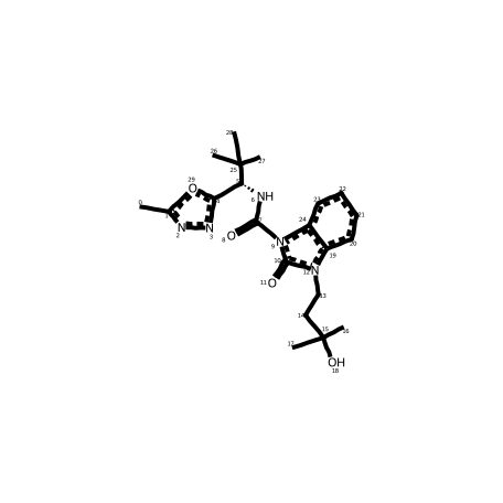 Cc1nnc([C@@H](NC(=O)n2c(=O)n(CCC(C)(C)O)c3ccccc32)C(C)(C)C)o1